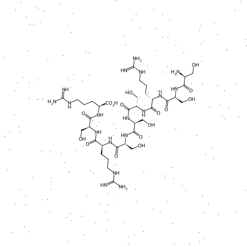 N=C(N)NCCC[C@H](NC(=O)[C@H](CO)NC(=O)[C@H](CCCNC(=N)N)NC(=O)[C@H](CO)NC(=O)[C@H](CO)NC(=O)[C@H](CO)NC(=O)[C@H](CCCNC(=N)N)NC(=O)[C@H](CO)NC(=O)[C@@H](N)CO)C(=O)O